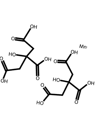 O=C(O)CC(O)(CC(=O)O)C(=O)O.O=C(O)CC(O)(CC(=O)O)C(=O)O.[Mn]